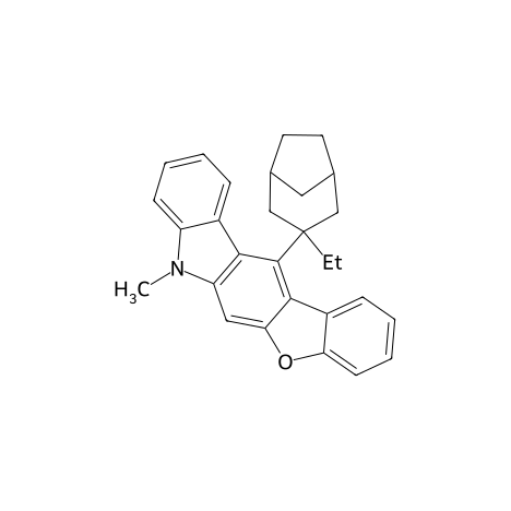 CCC1(c2c3c(cc4c2c2ccccc2n4C)oc2ccccc23)CC2CCC(C2)C1